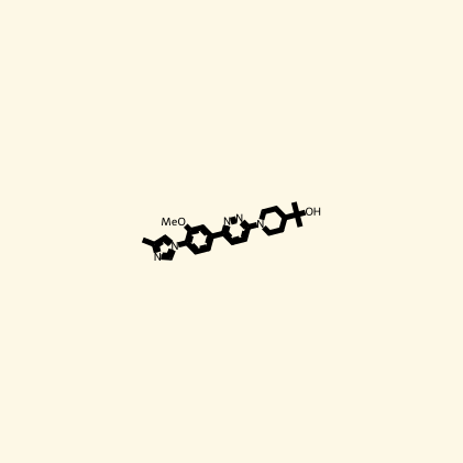 COc1cc(-c2ccc(N3CCC(C(C)(C)O)CC3)nn2)ccc1-n1cnc(C)c1